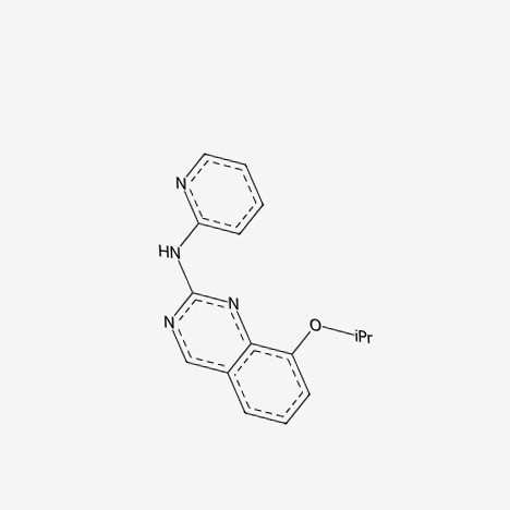 CC(C)Oc1cccc2cnc(Nc3ccccn3)nc12